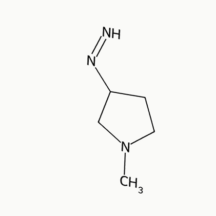 CN1CCC(N=N)C1